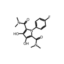 CN(C)C(=O)c1c(O)c(O)c(C(=O)N(C)C)n1-c1ccc(F)cc1